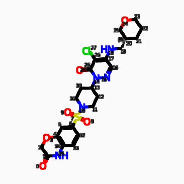 O=C1COc2cc(S(=O)(=O)N3CCC(n4ncc(NC[C@H]5CCCOC5)c(Cl)c4=O)CC3)ccc2N1